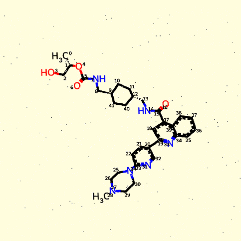 C[C@@H](CO)OC(=O)NC[C@H]1CC[C@H](CNC(=O)c2cc(-c3ccc(N4CCN(C)CC4)nc3)nc3ccccc23)CC1